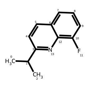 CC(C)c1ccc2cccc(F)c2n1